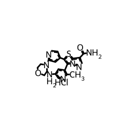 Cc1ncc(N)cc1-c1c(-c2ccnc(N3CCOCC3)c2)sc2c(C(N)=O)cnn12.Cl